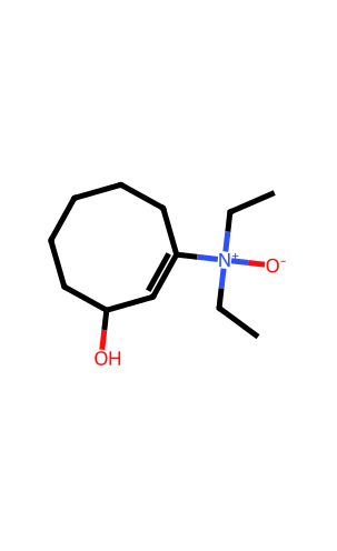 CC[N+]([O-])(CC)/C1=C/C(O)CCCCC1